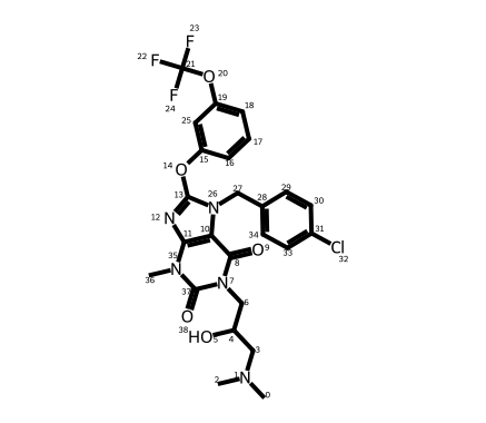 CN(C)CC(O)Cn1c(=O)c2c(nc(Oc3cccc(OC(F)(F)F)c3)n2Cc2ccc(Cl)cc2)n(C)c1=O